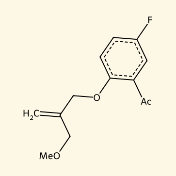 C=C(COC)COc1ccc(F)cc1C(C)=O